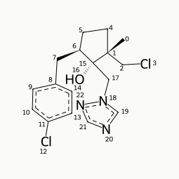 C[C@]1(CCl)CC[C@H](Cc2ccc(Cl)cc2)[C@]1(O)Cn1cncn1